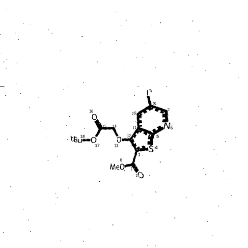 COC(=O)c1sc2ncc(I)cc2c1OCC(=O)OC(C)(C)C